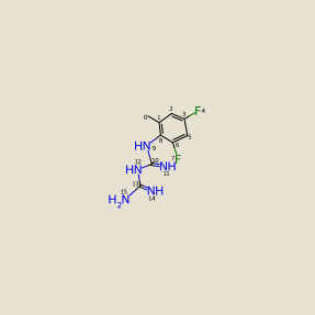 Cc1cc(F)cc(F)c1NC(=N)NC(=N)N